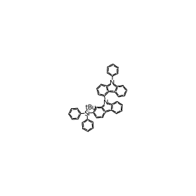 CC(C)(C)[Si](c1ccccc1)(c1ccccc1)c1ccc2c3ccccc3n(-c3cccc4c3c3ccccc3n4-c3ccccc3)c2c1